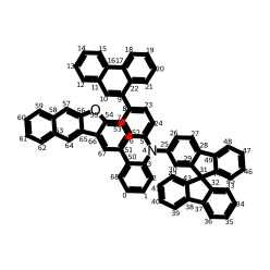 c1ccc(N(c2ccc(-c3cc4ccccc4c4ccccc34)cc2)c2ccc3c(c2)C2(c4ccccc4-c4ccccc42)c2ccccc2-3)c(-c2ccc3oc4cc5ccccc5cc4c3c2)c1